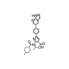 CC1CCC(C(=O)[As](c2nn(-c3ccc(-c4cnc5[nH]ncc5c4)cc3)cc2C(=O)O)C(C)C)CC1